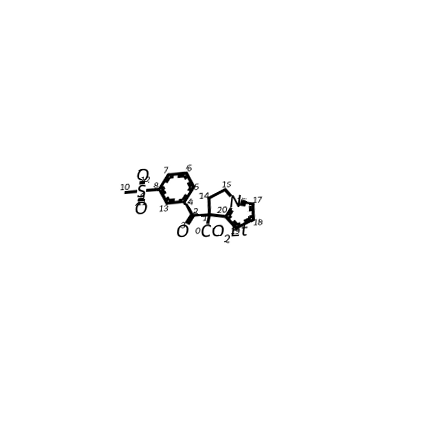 CCOC(=O)C1(C(=O)c2cccc(S(C)(=O)=O)c2)CCn2cccc21